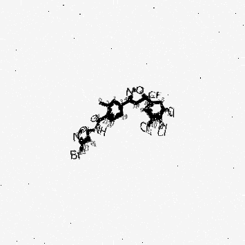 Cc1cc(C2=NO[C@@](c3cc(Cl)c(Cl)c(Cl)c3)(C(F)(F)F)C2)ccc1C(=O)NC1CC(Br)=NO1